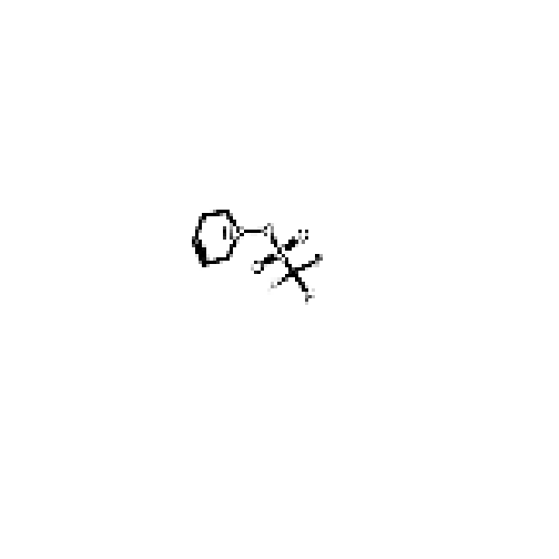 O=S(=O)(O[SH]1CC=CCC1)C(F)(F)F